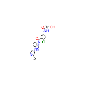 CC(C)(CO)C(=O)NCc1ccc(Cl)c(C(=O)Nc2cccc3c2cnn3-c2ccnc(C3CC3)c2)c1